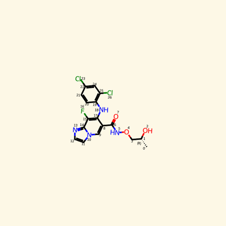 C[C@@H](O)CONC(=O)c1cn2ccnc2c(F)c1Nc1ccc(Cl)cc1Cl